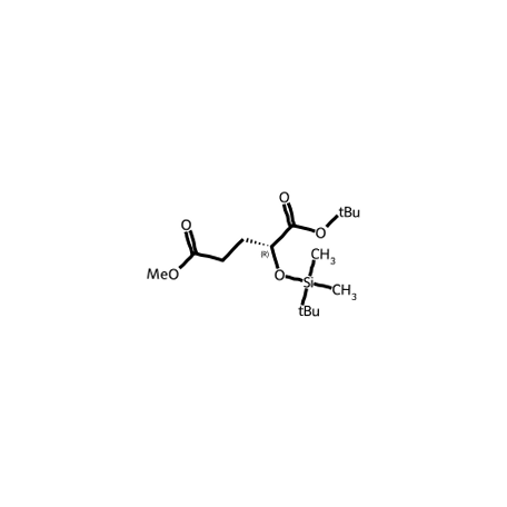 COC(=O)CC[C@@H](O[Si](C)(C)C(C)(C)C)C(=O)OC(C)(C)C